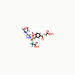 COc1ccc(C(=O)SCC(=O)O)cc1CS(=O)(=O)NCCN1CCOCC1.O=C(O)C(F)(F)F